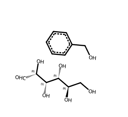 O=C[C@H](O)[C@@H](O)[C@H](O)[C@H](O)CO.OCc1ccccc1